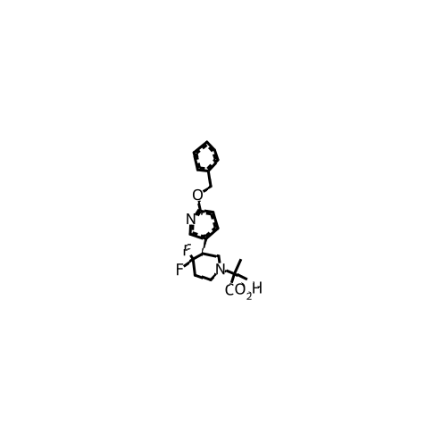 CC(C)(C(=O)O)N1CCC(F)(F)[C@@H](c2ccc(OCc3ccccc3)nc2)C1